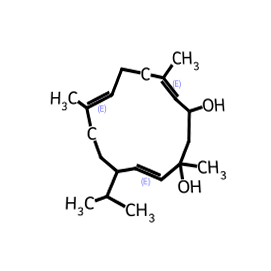 C/C1=C\C(O)CC(C)(O)/C=C/C(C(C)C)CC/C(C)=C/CC1